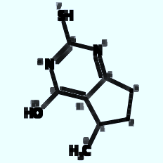 CC1CCc2nc(S)nc(O)c21